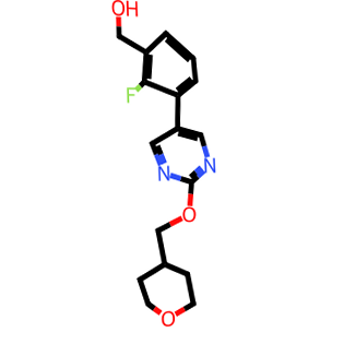 OCc1cccc(-c2cnc(OCC3CCOCC3)nc2)c1F